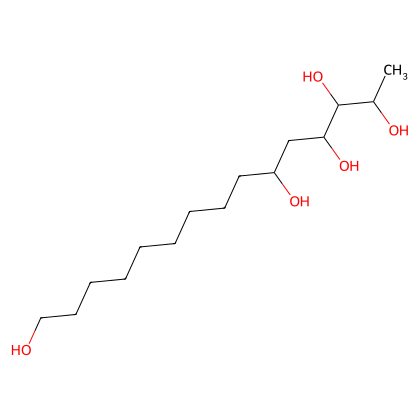 CC(O)C(O)C(O)CC(O)CCCCCCCCCO